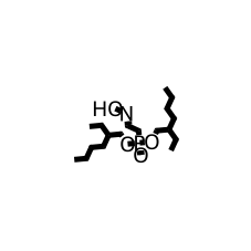 CCCCC(CC)COP(=O)(CC=NO)OCC(CC)CCCC